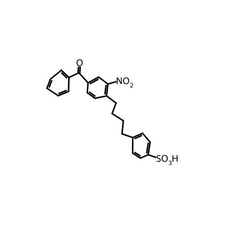 O=C(c1ccccc1)c1ccc(CCCCc2ccc(S(=O)(=O)O)cc2)c([N+](=O)[O-])c1